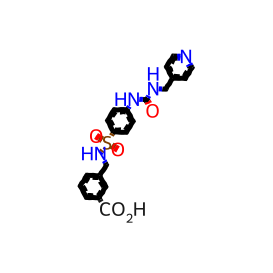 O=C(NCc1ccncc1)Nc1ccc(S(=O)(=O)NCc2cccc(C(=O)O)c2)cc1